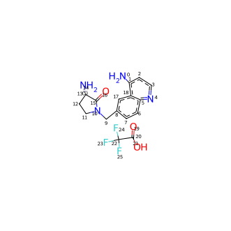 Nc1ccnc2ccc(CN3CC[C@H](N)C3=O)cc12.O=C(O)C(F)(F)F